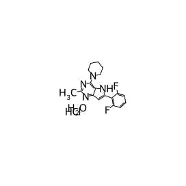 Cc1nc(N2CCCCC2)c2[nH]c(-c3c(F)cccc3F)cc2n1.Cl.O